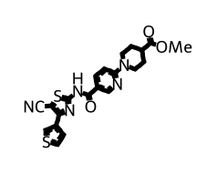 COC(=O)C1CCN(c2ccc(C(=O)Nc3nc(-c4ccsc4)c(C#N)s3)cn2)CC1